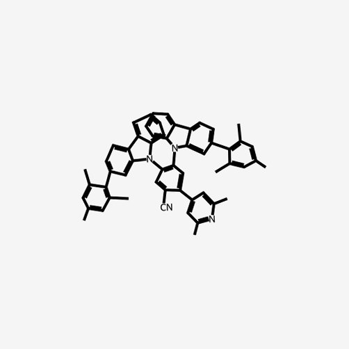 Cc1cc(C)c(-c2ccc3c4ccccc4n(-c4cc(C#N)c(-c5cc(C)nc(C)c5)cc4-n4c5ccccc5c5ccc(-c6c(C)cc(C)cc6C)cc54)c3c2)c(C)c1